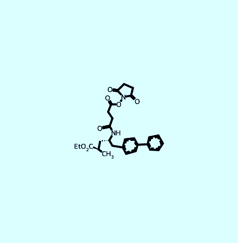 CCOC(=O)[C@H](C)C[C@@H](Cc1ccc(-c2ccccc2)cc1)NC(=O)CCC(=O)ON1C(=O)CCC1=O